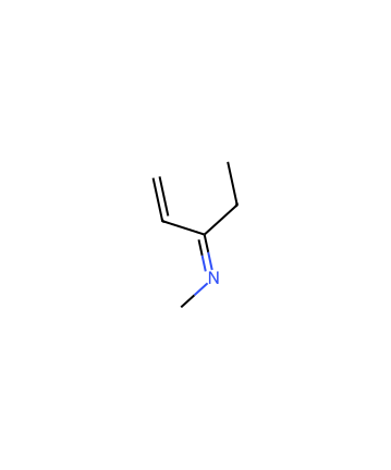 C=C/C(CC)=N\C